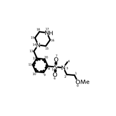 COCCN(C)S(=O)(=O)c1cccc(CN2CCNCC2)c1